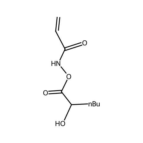 C=CC(=O)NOC(=O)C(O)CCCC